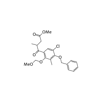 COCOc1c(C(=O)C(C)CC(=O)OC)cc(Cl)c(OCc2ccccc2)c1C